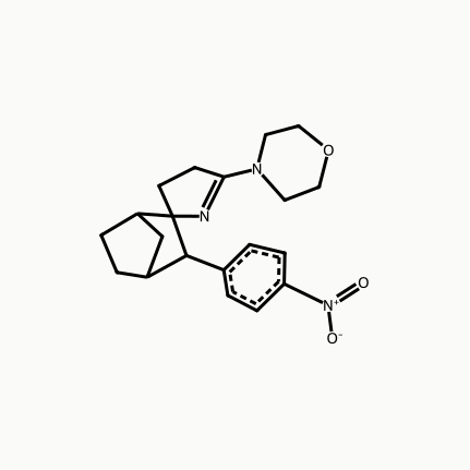 O=[N+]([O-])c1ccc(C2C3CCC(C3)C23CCC(N2CCOCC2)=N3)cc1